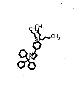 CCC[CH2][Sn]([CH2]CCC)([CH2]CCC)[c]1ccc(-c2ccn(C(c3ccccc3)(c3ccccc3)c3ccccc3)n2)cc1